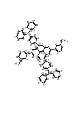 Cc1cccc(-c2cc3cc(-c4ccc(N(c5ccccc5)c5ccccc5)cc4)c4cc(-c5cccc(C)c5)cc5c6oc7cc(N(c8ccccc8)c8ccccc8)ccc7c6c(c2)c3c45)c1